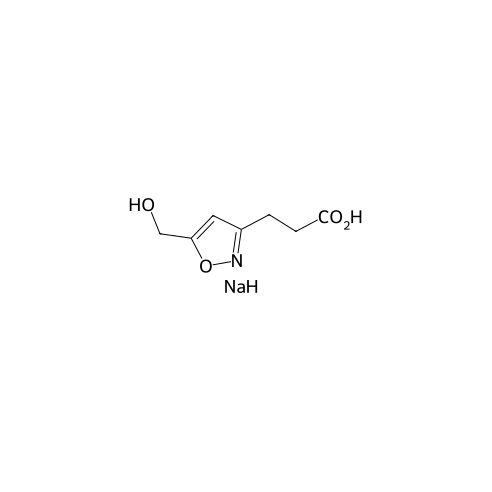 O=C(O)CCc1cc(CO)on1.[NaH]